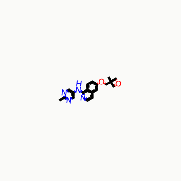 Cc1ncc(Nc2nccc3cc(OCC4(C)COC4)ccc23)cn1